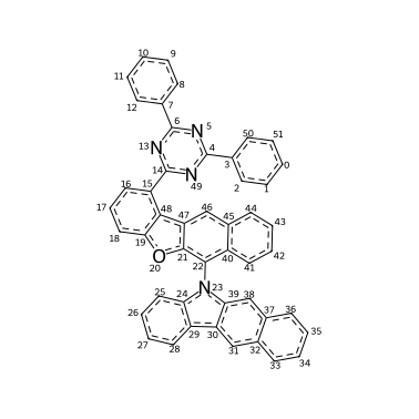 c1ccc(-c2nc(-c3ccccc3)nc(-c3cccc4oc5c(-n6c7ccccc7c7cc8ccccc8cc76)c6ccccc6cc5c34)n2)cc1